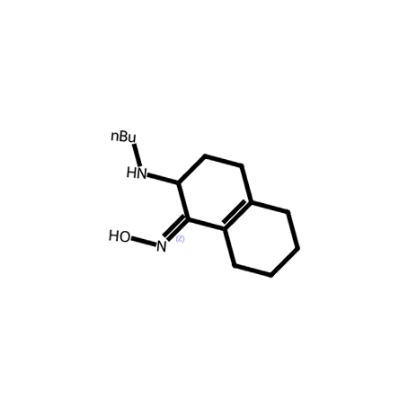 CCCCNC1CCC2=C(CCCC2)/C1=N/O